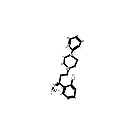 CO/N=C(/CCN1CCN(c2ccccn2)CC1)c1ccccc1Cl